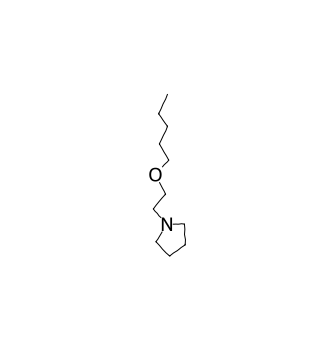 CCCCCOCCN1CCCC1